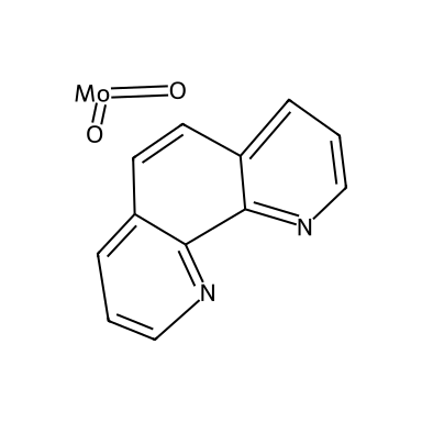 [O]=[Mo]=[O].c1cnc2c(c1)ccc1cccnc12